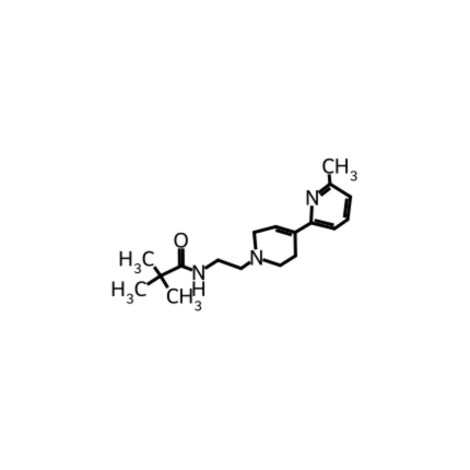 Cc1cccc(C2=CCN(CCNC(=O)C(C)(C)C)CC2)n1